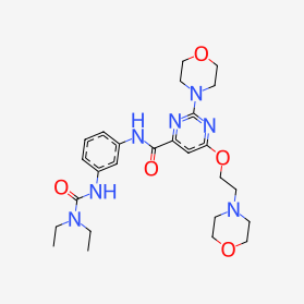 CCN(CC)C(=O)Nc1cccc(NC(=O)c2cc(OCCN3CCOCC3)nc(N3CCOCC3)n2)c1